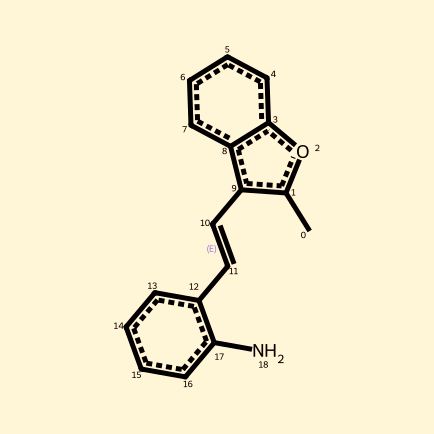 Cc1oc2ccccc2c1/C=C/c1ccccc1N